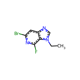 CCn1cnc2cc(Br)nc(F)c21